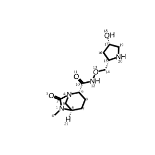 CN1C(=O)N2C[C@H]1CC[C@H]2C(=O)NOC[C@@H]1C[C@H](O)CN1